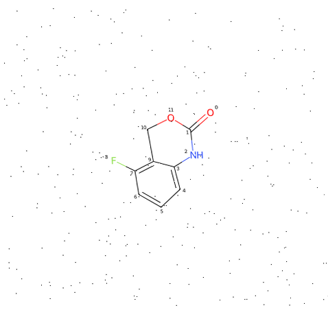 O=C1Nc2cc[c]c(F)c2CO1